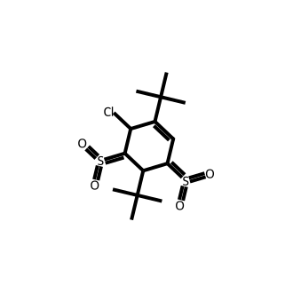 CC(C)(C)C1=CC(=S(=O)=O)C(C(C)(C)C)C(=S(=O)=O)C1Cl